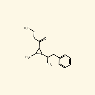 CCOC(=O)C1C(C)N1B(C)Cc1ccccc1